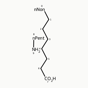 CCCCCCCCCCCCCCCC(=O)O.CCCCCN